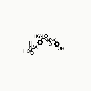 C[C@@H](c1ccc(O)cc1)N1C[C@H](NC(=O)/C(=N/O)c2ccc(OCC[C@@H](N)C(=O)O)cc2)C1=O